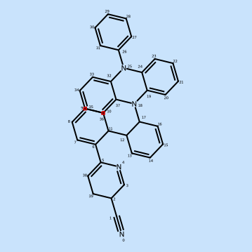 N#CC1C=NC(C2=CC=CCC2C2C=CC=CC2N2c3ccccc3N(c3ccccc3)c3ccccc32)=CC1